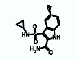 NC(=O)c1[nH]c2ccc(Br)cc2c1S(=O)(=O)NC1CC1